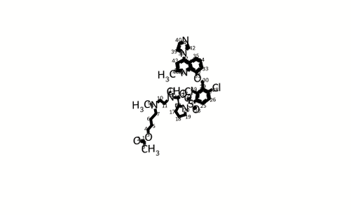 CC(=O)OCCCCN(C)CCN(C)C(=O)[C@@H]1CCCN1S(=O)(=O)c1ccc(Cl)c(COc2cccc3c(-n4ccnc4)cc(C)nc23)c1Cl